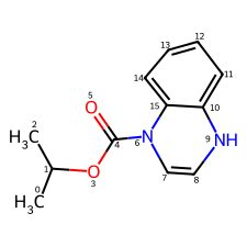 CC(C)OC(=O)N1C=CNc2ccccc21